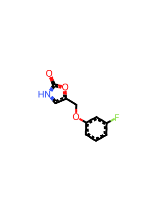 O=c1[nH]cc(COc2cccc(F)c2)o1